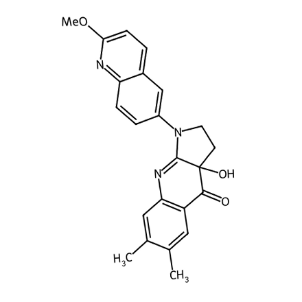 COc1ccc2cc(N3CCC4(O)C(=O)c5cc(C)c(C)cc5N=C34)ccc2n1